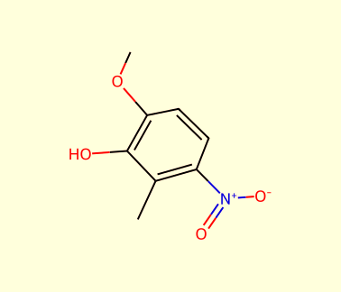 COc1ccc([N+](=O)[O-])c(C)c1O